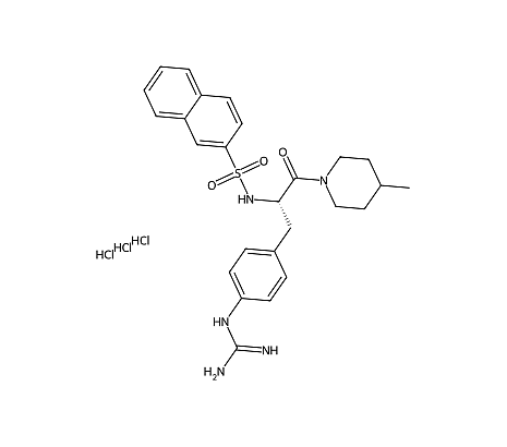 CC1CCN(C(=O)[C@H](Cc2ccc(NC(=N)N)cc2)NS(=O)(=O)c2ccc3ccccc3c2)CC1.Cl.Cl.Cl